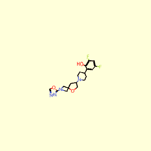 Oc1c(F)cc(F)cc1C1CCN(C2COC3(C2)CN(c2nnco2)C3)CC1